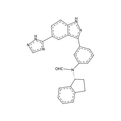 O=CN(c1cccc(-c2n[nH]c3ccc(-c4ncn[nH]4)cc23)c1)[C@@H]1CCc2ccccc21